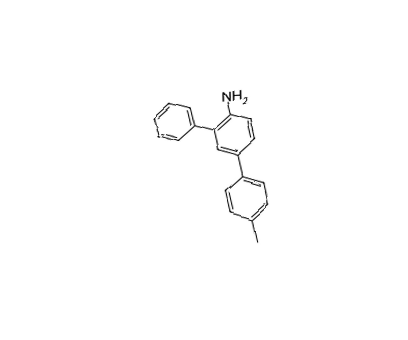 Cc1ccc(-c2ccc(N)c(-c3ccccc3)c2)cc1